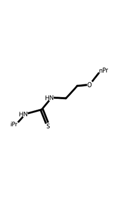 CCCOCCNC(=S)NC(C)C